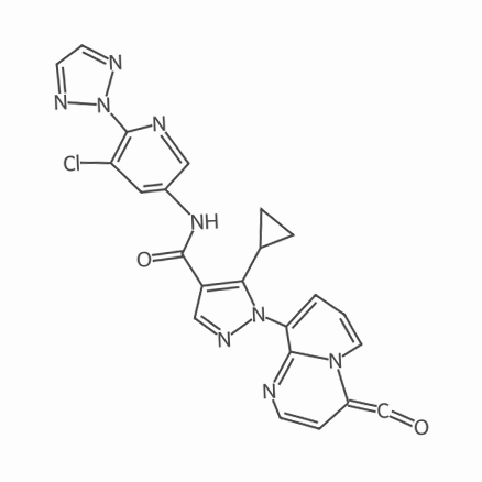 O=C=C1C=CN=C2C(n3ncc(C(=O)Nc4cnc(-n5nccn5)c(Cl)c4)c3C3CC3)=CC=CN12